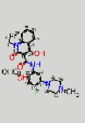 CC(C)Cn1c(=O)c(C(=O)Nc2ccc(F)c(N3CCN(C)CC3)c2)c(O)c2ccccc21.O=CO